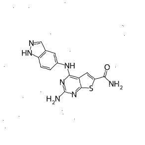 NC(=O)c1cc2c(Nc3ccc4[nH]ncc4c3)nc(N)nc2s1